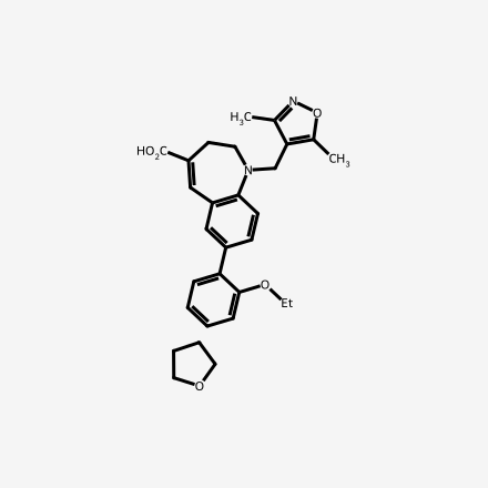 C1CCOC1.CCOc1ccccc1-c1ccc2c(c1)C=C(C(=O)O)CCN2Cc1c(C)noc1C